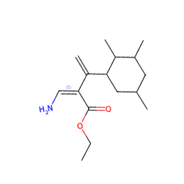 C=C(/C(=C/N)C(=O)OCC)C1CC(C)CC(C)C1C